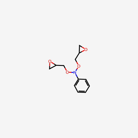 c1ccc(N(OCC2CO2)OCC2CO2)cc1